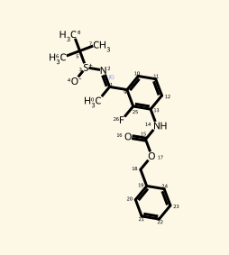 C/C(=N\[S+]([O-])C(C)(C)C)c1cccc(NC(=O)OCc2ccccc2)c1F